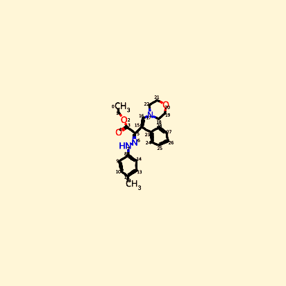 CCOC(=O)C(=N\Nc1ccc(C)cc1)/C(=C/N1CCOCC1)c1ccccc1